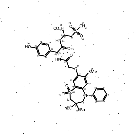 CCCCC1(CCCC)CN(c2ccccc2)c2cc(SC)c(OCC(=O)N[C@@H](C(=O)N[C@H](CS(C)(=O)=O)C(=O)O)c3ccc(O)cc3)cc2S(=O)(=O)C1